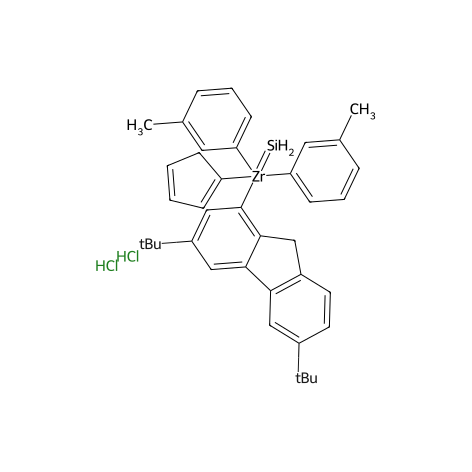 Cc1ccc[c]([Zr](=[SiH2])([C]2=CC=CC2)([c]2cccc(C)c2)[c]2cc(C(C)(C)C)cc3c2Cc2ccc(C(C)(C)C)cc2-3)c1.Cl.Cl